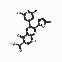 Cc1cc(-c2cc3c(=O)c(C(N)=O)c[nH]c3nc2-c2ccc(C)o2)cc(Cl)n1